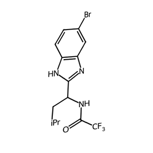 CC(C)CC(NC(=O)C(F)(F)F)c1nc2cc(Br)ccc2[nH]1